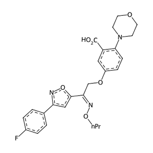 CCCON=C(COc1ccc(N2CCOCC2)c(C(=O)O)c1)c1cc(-c2ccc(F)cc2)no1